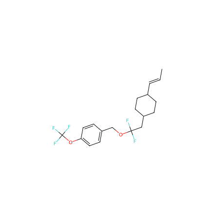 CC=CC1CCC(CC(F)(F)OCc2ccc(OC(F)(F)F)cc2)CC1